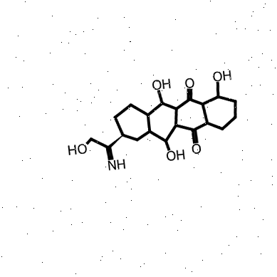 N=C(CO)[C@H]1CCC2C(O)C3C(=O)C4C(O)CCCC4C(=O)C3C(O)C2C1